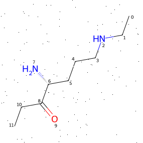 CCNCCC[C@@H](N)C(=O)CC